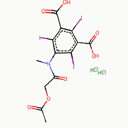 CC(=O)OCC(=O)N(C)c1c(I)c(C(=O)O)c(I)c(C(=O)O)c1I.Cl.Cl